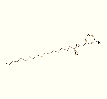 CCCCCCCCCCCCCCCCCC(=O)OCc1cccc(Br)c1